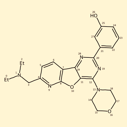 CCN(CC)Cc1ccc2c(n1)oc1c(N3CCOCC3)nc(-c3cccc(O)c3)nc12